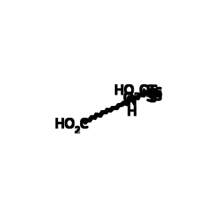 O=C(O)CCCCCCCCCCCCCCCCC(=O)NCCCC[C@@H](C(=O)O)C1SSC2(SS1)SS2